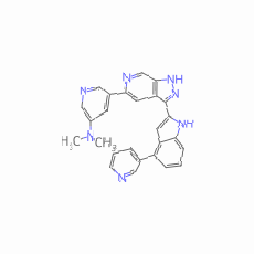 CN(C)c1cncc(-c2cc3c(-c4cc5c(-c6cccnc6)cccc5[nH]4)n[nH]c3cn2)c1